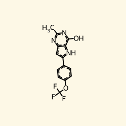 Cc1nc(O)c2[nH]c(-c3ccc(OC(F)(F)F)cc3)cc2n1